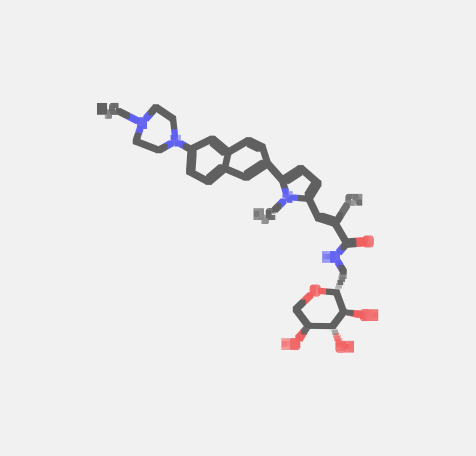 CN1CCN(c2ccc3cc(-c4ccc(/C=C(\C#N)C(=O)NC[C@H]5OC[C@H](O)[C@@H](O)[C@@H]5O)n4C)ccc3c2)CC1